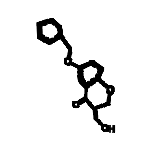 O=C1/C(=C/O)COc2ccc(OCc3ccccc3)cc21